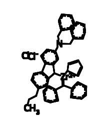 CCCc1ccc2c(c1)[CH]([Zr+2](=[C](c1ccccc1)c1ccccc1)[CH]1C=CC=C1)c1cc(N(Cc3ccccc3)Cc3ccccc3)ccc1-2.[Cl-].[Cl-]